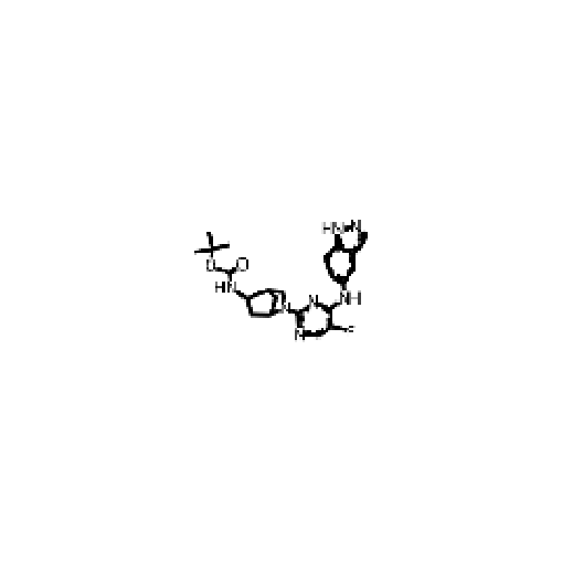 CC(C)(C)OC(=O)NC1CC2CC1CN2c1ncc(F)c(Nc2ccc3[nH]ncc3c2)n1